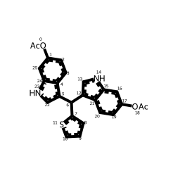 CC(=O)Oc1ccc2c(C(c3cccs3)c3c[nH]c4cc(OC(C)=O)ccc34)c[nH]c2c1